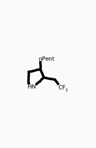 CCCCCC1CCNC1CC(F)(F)F